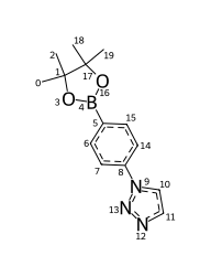 CC1(C)OB(c2ccc(-n3ccnn3)cc2)OC1(C)C